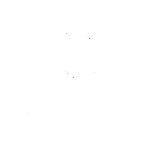 Cc1c(-c2c(C(N)=O)nc3ccccc3c2C(N)=O)c(C(C)C)nn1Cc1ccc(C#N)cc1